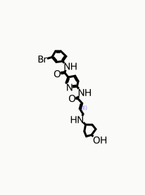 O=C(/C=C/CNC1CCC(O)CC1)Nc1ccc(C(=O)Nc2cccc(Br)c2)cn1